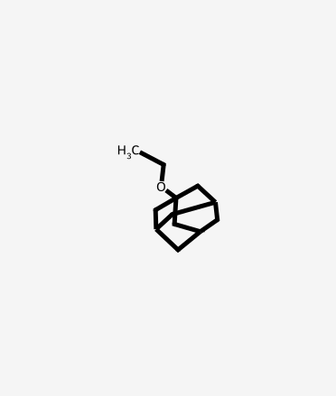 CCOC12C[C]3CC(CC(C3)C1)C2